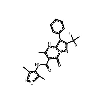 Cc1noc(C)c1NC(=O)c1c(C)[nH]c2c(-c3ccccc3)c(C(F)(F)F)nn2c1=O